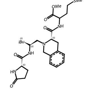 CC[C@H](C)[C@@H](CN1Cc2ccccc2C[C@H]1C(=O)NC(CCSC)C(=O)OC)NC(=O)[C@@H]1CCC(=O)N1